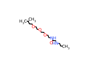 CCCNCC(=O)NCCOCCOCCOCCC(C)C